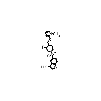 CC1COc2ccc(S(=O)(=O)N3CCC(CSc4nccn4C)C(F)C3)cc21